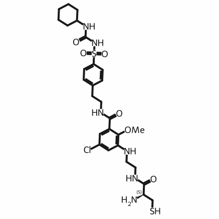 COc1c(NCCNC(=O)[C@H](N)CS)cc(Cl)cc1C(=O)NCCc1ccc(S(=O)(=O)NC(=O)NC2CCCCC2)cc1